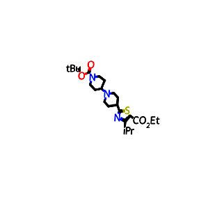 CCOC(=O)c1sc(C2CCN(C3CCN(C(=O)OC(C)(C)C)CC3)CC2)nc1C(C)C